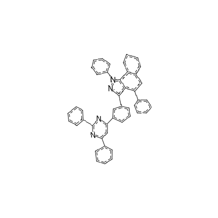 c1ccc(-c2cc(-c3cccc(-c4nn(-c5ccccc5)c5c4c(-c4ccccc4)cc4ccccc45)c3)nc(-c3ccccc3)n2)cc1